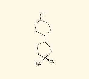 CCCC1CCC([C@H]2CC[C@](C)(C#N)CC2)CC1